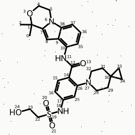 CC1(C)OCCn2c1cc1c(NC(=O)c3ccc(NS(=O)(=O)CCO)cc3N3CCC4(CC3)CC4)cccc12